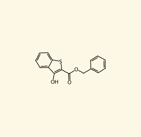 O=C(OCc1ccccc1)c1sc2ccccc2c1O